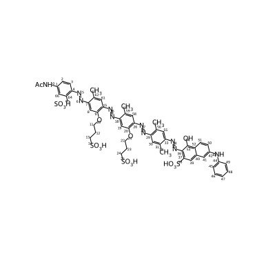 CC(=O)Nc1ccc(N=Nc2cc(OCCCS(=O)(=O)O)c(N=Nc3cc(OCCCS(=O)(=O)O)c(N=Nc4cc(C)c(N=Nc5c(S(=O)(=O)O)cc6cc(Nc7ccccc7)ccc6c5O)cc4C)cc3C)cc2C)c(S(=O)(=O)O)c1